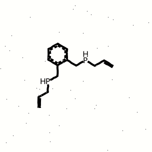 C=CCPCc1ccccc1CPCC=C